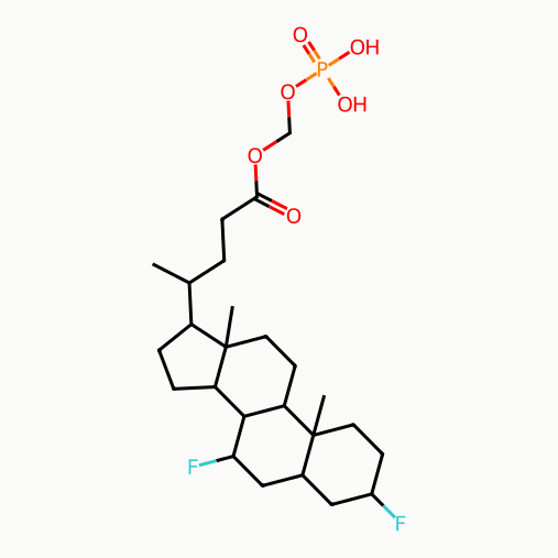 CC(CCC(=O)OCOP(=O)(O)O)C1CCC2C3C(F)CC4CC(F)CCC4(C)C3CCC12C